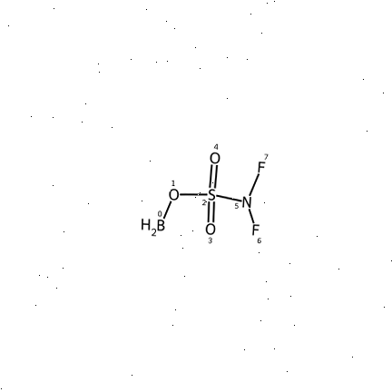 BOS(=O)(=O)N(F)F